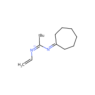 C=C/N=C(\N=C1CCCCCC1)C(C)(C)C